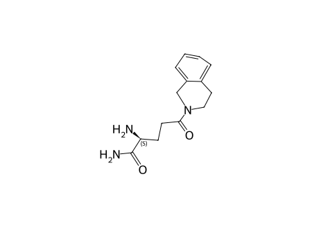 NC(=O)[C@@H](N)CCC(=O)N1CCc2ccccc2C1